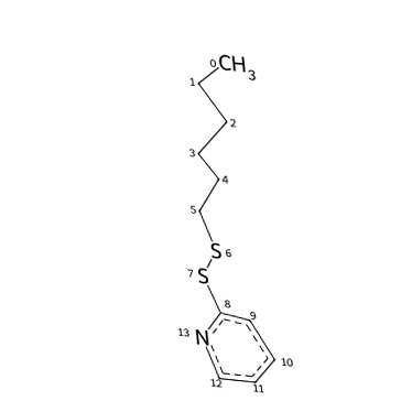 CCCCCCSSc1ccccn1